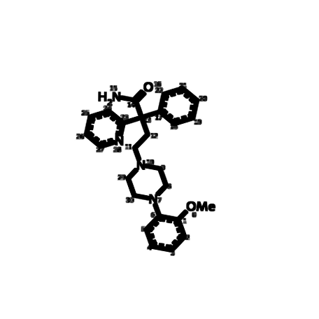 COc1ccccc1N1CCN(CCC(C(N)=O)(c2ccccc2)c2ccccn2)CC1